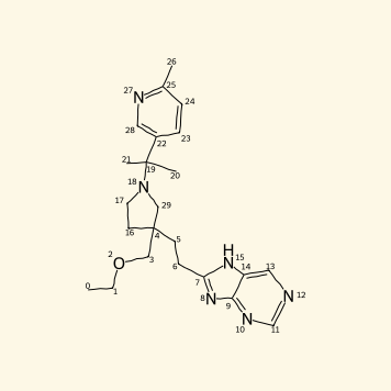 CCOCC1(CCc2nc3ncncc3[nH]2)CCN(C(C)(C)c2ccc(C)nc2)C1